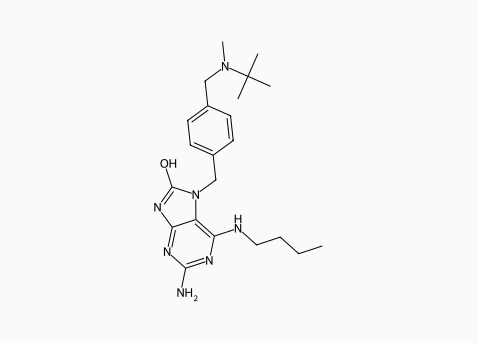 CCCCNc1nc(N)nc2nc(O)n(Cc3ccc(CN(C)C(C)(C)C)cc3)c12